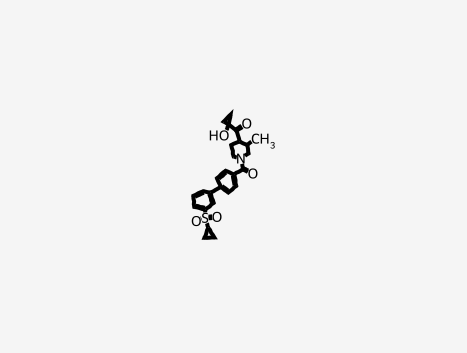 CC1CN(C(=O)c2ccc(-c3cccc(S(=O)(=O)C4CC4)c3)cc2)CCC1C(=O)C1(O)CC1